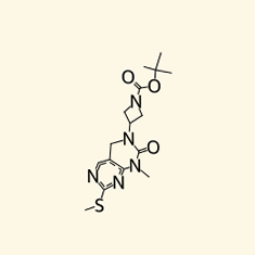 CSc1ncc2c(n1)N(C)C(=O)N(C1CN(C(=O)OC(C)(C)C)C1)C2